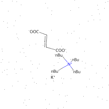 CCCC[N+](CCCC)(CCCC)CCCC.O=C([O-])C=CC(=O)[O-].[K+]